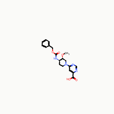 CO[C@H]1CN(c2cc(C(=O)O)ncn2)CC[C@H]1NC(=O)OCc1ccccc1